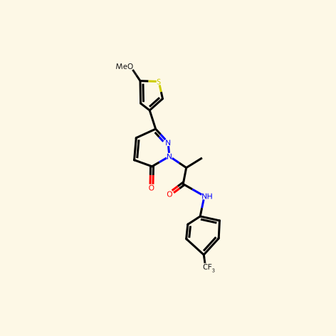 COc1cc(-c2ccc(=O)n(C(C)C(=O)Nc3ccc(C(F)(F)F)cc3)n2)cs1